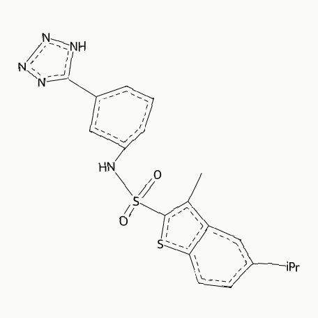 Cc1c(S(=O)(=O)Nc2cccc(-c3nnn[nH]3)c2)sc2ccc(C(C)C)cc12